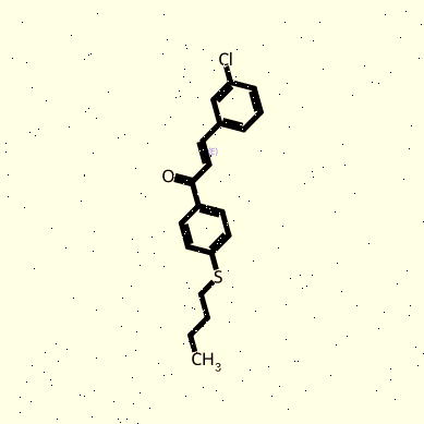 CCCCSc1ccc(C(=O)/C=C/c2cccc(Cl)c2)cc1